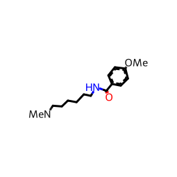 CNCCCCCCNC(=O)c1ccc(OC)cc1